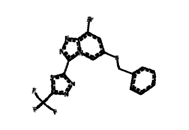 FC(F)(F)c1nnc(-c2nnc3c(Br)cc(SCc4ccccc4)cn23)s1